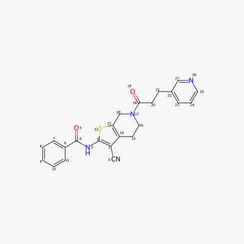 N#Cc1c(NC(=O)c2ccccc2)sc2c1CCN(C(=O)CCc1cccnc1)C2